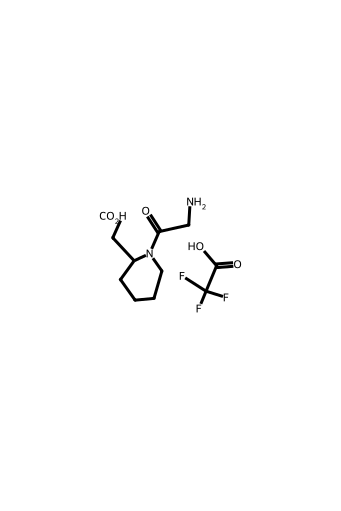 NCC(=O)N1CCCCC1CC(=O)O.O=C(O)C(F)(F)F